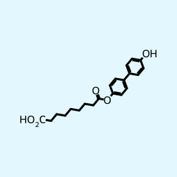 O=C(O)CCCCCCCC(=O)Oc1ccc(-c2ccc(O)cc2)cc1